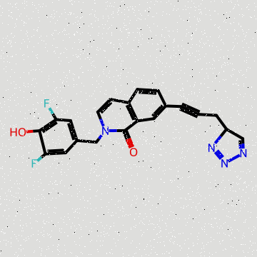 O=c1c2cc(C#CCC3C=NN=N3)ccc2ccn1Cc1cc(F)c(O)c(F)c1